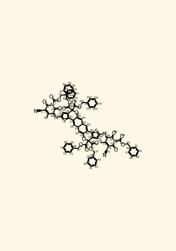 CC1=C(C#N)C(=O)N(C(=O)OCc2ccccc2)C(=O)/C1=N\c1cc2c(s1)C1=CC3C=C4OC(C(=O)OCc5ccccc5)(C(=O)OCc5ccccc5)c5cc(/N=C6/C(=O)N(C(=O)OCc7ccccc7)C(=O)C(C#N)=C6C)sc5C4=CC3C=C1OC2(C(=O)OCc1ccccc1)C(=O)OCc1ccccc1